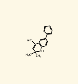 CCCC1=CC(C)(C)Nc2ccc(-c3ccccc3)cc21